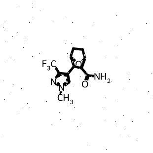 Cn1cc(C2C3CCC(O3)C2C(N)=O)c(C(F)(F)F)n1